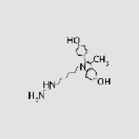 Cc1c(-c2ccc(O)cc2)n(CCCCCCNCCN)c2ccc(O)cc12